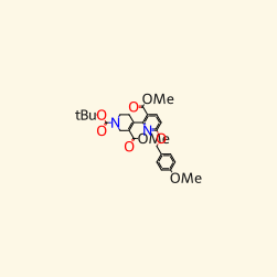 COC(=O)C1=C(c2nc(OCc3ccc(OC)cc3)ccc2C(=O)OC)CCN(C(=O)OC(C)(C)C)C1